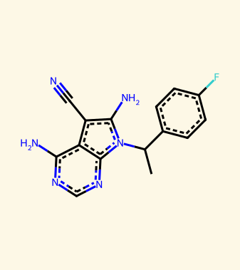 CC(c1ccc(F)cc1)n1c(N)c(C#N)c2c(N)ncnc21